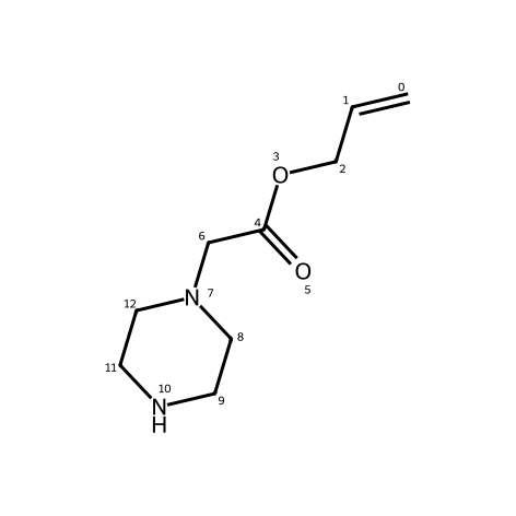 C=CCOC(=O)CN1CCNCC1